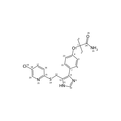 CC(C)(Oc1ccc(-c2nc[nH]c2CSc2ccc(Cl)cn2)cc1)C(N)=O